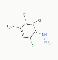 NNc1c(Cl)cc(C(F)(F)F)c(Cl)c1Cl